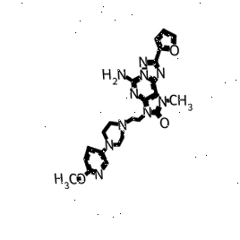 COc1ccc(N2CCN(CCn3c(=O)n(C)c4c3nc(N)n3nc(-c5ccco5)nc43)CC2)cn1